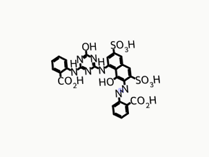 O=C(O)c1ccccc1/N=N/c1c(S(=O)(=O)O)cc2cc(S(=O)(=O)O)cc(Nc3nc(O)nc(Nc4ccccc4C(=O)O)n3)c2c1O